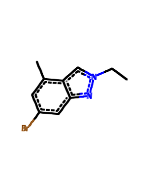 CCn1cc2c(C)cc(Br)cc2n1